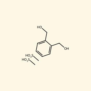 CS(=O)(=O)O.CS(=O)(=O)O.OCc1ccccc1CO